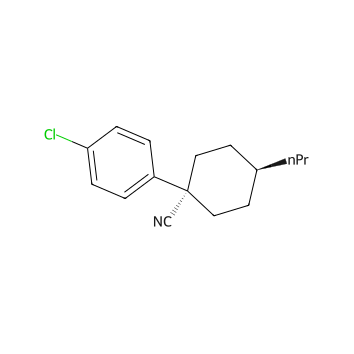 CCC[C@H]1CC[C@@](C#N)(c2ccc(Cl)cc2)CC1